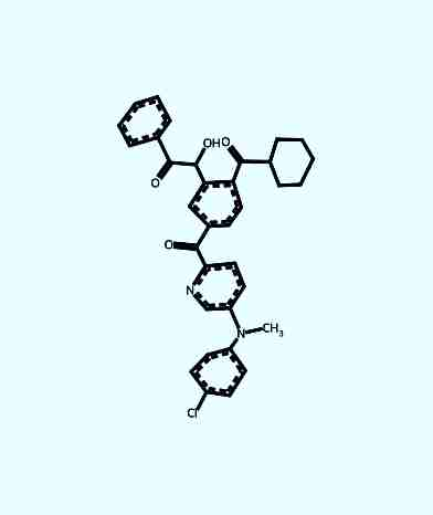 CN(c1ccc(Cl)cc1)c1ccc(C(=O)c2ccc(C(=O)C3CCCCC3)c(C(O)C(=O)c3ccccc3)c2)nc1